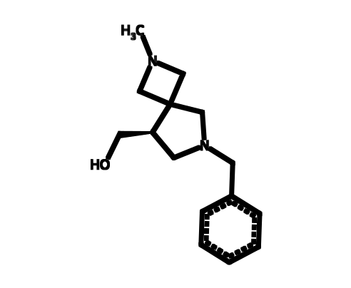 CN1CC2(C1)CN(Cc1ccccc1)C[C@H]2CO